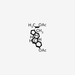 CC(=O)OC=C(C)[C@H]1CC[C@H]2[C@@H]3CC=C4C=C(OC(C)=O)CC[C@]4(C)[C@H]3CC[C@]12C